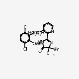 CC(C)C1(C)N=C(c2ncccc2C(=O)O)NC1=O.COc1c(Cl)ccc(Cl)c1C(=O)O